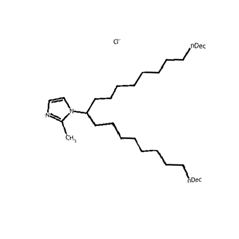 CCCCCCCCCCCCCCCCCCC(CCCCCCCCCCCCCCCCCC)N1C=C[N+]=C1C.[Cl-]